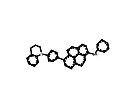 c1ccc(Nc2ccc3ccc4c(-c5ccc(N6CCCc7ccccc76)cc5)ccc5ccc2c3c54)cc1